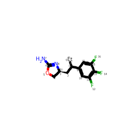 CCC(C[C@H]1COC(N)=N1)c1cc(F)c(F)c(F)c1